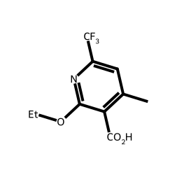 CCOc1nc(C(F)(F)F)cc(C)c1C(=O)O